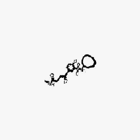 CNC(=O)CCC(=O)c1ccc(Cl)c(S(=O)(=O)NC2CCCCCCC2)c1